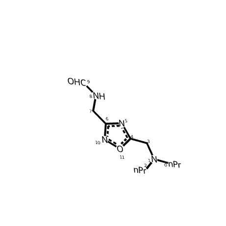 CCCN(CCC)Cc1nc(CNC=O)no1